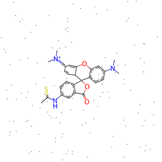 CC(=S)Nc1ccc2c(c1)C(=O)OC21c2ccc(N(C)C)cc2OC2=CC(=[N+](C)C)C=CC21